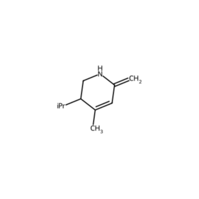 C=C1C=C(C)C(C(C)C)CN1